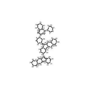 c1ccc(-c2nc(-c3cccc(-n4c5ccc(-n6c7ccccc7c7cc8ccccc8cc76)cc5c5cc6ccccc6cc54)c3)nc3ccccc23)cc1